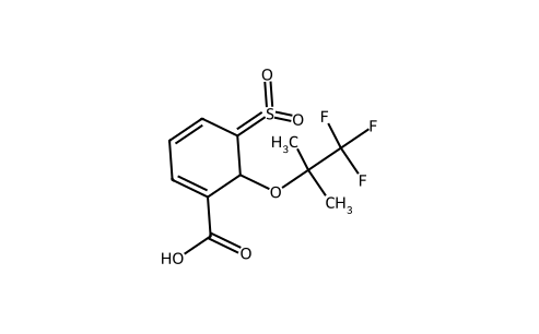 CC(C)(OC1C(C(=O)O)=CC=CC1=S(=O)=O)C(F)(F)F